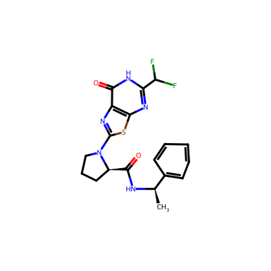 C[C@@H](NC(=O)[C@H]1CCCN1c1nc2c(=O)[nH]c(C(F)F)nc2s1)c1ccccc1